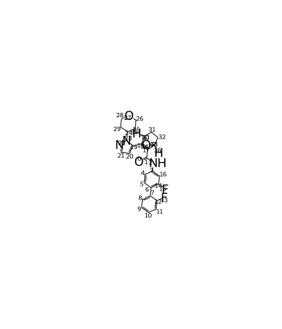 O=C(Nc1ccc(-c2ccccc2F)c(F)c1)C1=C(c2ccnn2C2CCOCC2)[C@@H]2CC[C@H]1O2